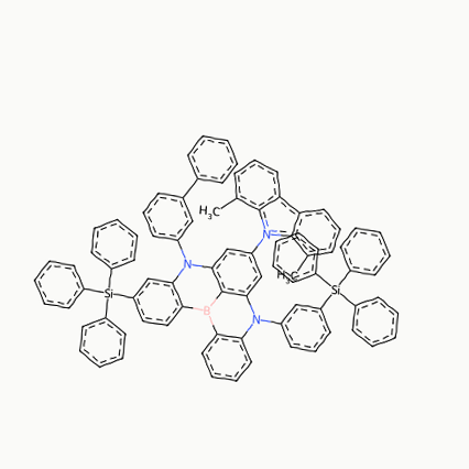 Cc1cccc2c3cccc(C)c3n(-c3cc4c5c(c3)N(c3cccc(-c6ccccc6)c3)c3cc([Si](c6ccccc6)(c6ccccc6)c6ccccc6)ccc3B5c3ccccc3N4c3cccc([Si](c4ccccc4)(c4ccccc4)c4ccccc4)c3)c12